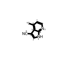 N#Cc1c[nH]c2nccc(I)c12